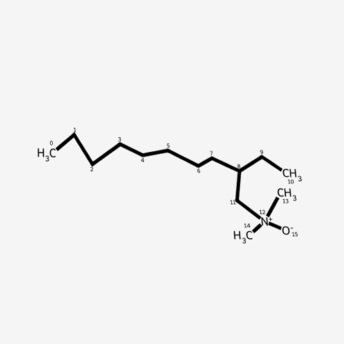 CCCCCCCCC(CC)C[N+](C)(C)[O-]